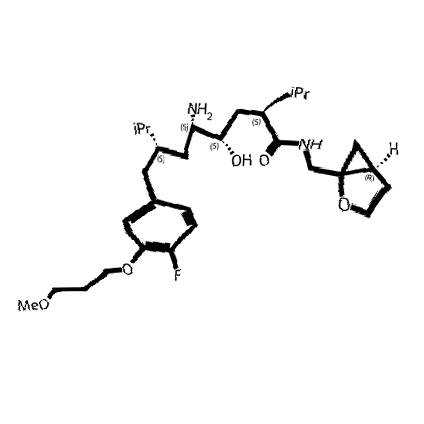 COCCCOc1cc(C[C@@H](C[C@H](N)[C@@H](O)C[C@H](C(=O)NCC23C[C@H]2CCO3)C(C)C)C(C)C)ccc1F